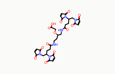 O=C(O)COC(CCNC(=O)CCC(CN1C(=O)C=CC1=O)N1C(=O)C=CC1=O)CNC(=O)CCC(CN1C(=O)C=CC1=O)N1C(=O)C=CC1=O